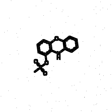 CS(=O)(=O)Oc1cccc2c1Nc1ccccc1O2